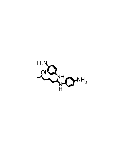 CC(O)CCCC(Nc1ccc(N)cc1)Nc1ccc(N)cc1